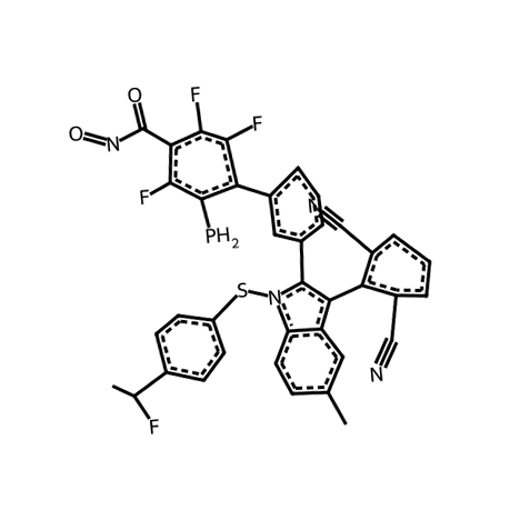 Cc1ccc2c(c1)c(-c1c(C#N)cccc1C#N)c(-c1cccc(-c3c(F)c(F)c(C(=O)N=O)c(F)c3P)c1)n2Sc1ccc(C(C)F)cc1